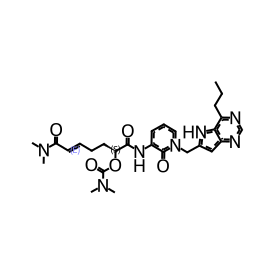 CCCc1ncnc2cc(Cn3cccc(NC(=O)[C@H](CC/C=C/C(=O)N(C)C)OC(=O)N(C)C)c3=O)[nH]c12